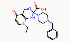 CCn1ccc(=O)c2c1NC(C(=O)O)(N1CCN(Cc3ccccc3)CC1)N=C2